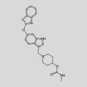 CNC(=O)OC1CCN(Cc2c[nH]c3cc(Oc4nc5ccccc5s4)ccc23)CC1